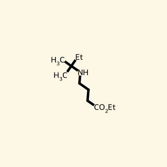 CCOC(=O)CCCNC(C)(C)CC